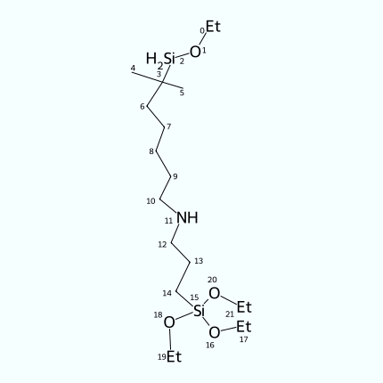 CCO[SiH2]C(C)(C)CCCCCNCCC[Si](OCC)(OCC)OCC